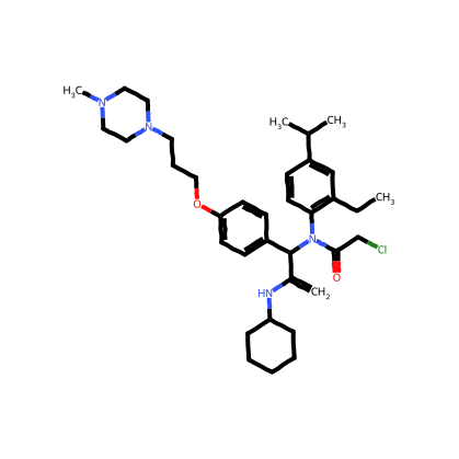 C=C(NC1CCCCC1)C(c1ccc(OCCCN2CCN(C)CC2)cc1)N(C(=O)CCl)c1ccc(C(C)C)cc1CC